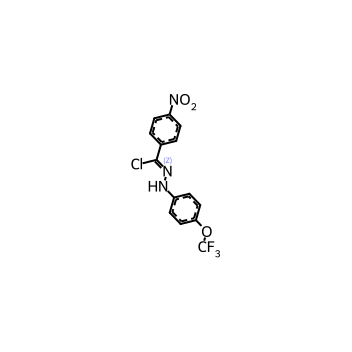 O=[N+]([O-])c1ccc(/C(Cl)=N/Nc2ccc(OC(F)(F)F)cc2)cc1